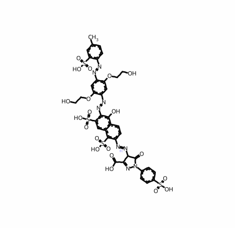 Cc1ccc(N=Nc2cc(OCCO)c(N=Nc3c(S(=O)(=O)O)cc4c(S(=O)(=O)O)c(/N=N/C5C(=O)N(c6ccc(S(=O)(=O)O)cc6)N=C5C(=O)O)ccc4c3O)cc2OCCO)c(S(=O)(=O)O)c1